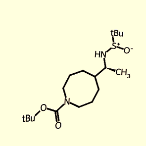 C[C@H](N[S+]([O-])C(C)(C)C)C1CCCN(C(=O)OC(C)(C)C)CCC1